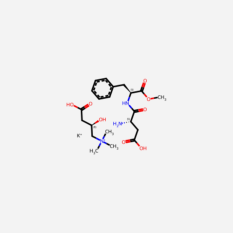 COC(=O)[C@H](Cc1ccccc1)NC(=O)[C@@H](N)CC(=O)O.C[N+](C)(C)C[C@H](O)CC(=O)O.[K+]